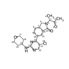 CC(=O)C(C)N1Cc2ccc(-c3nc(NC4CCOCC4)ncc3Cl)cc2C1=O